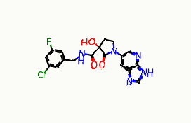 O=C(NCc1cc(F)cc(Cl)c1)[C@]1(O)CCN(c2cnc3[nH]cnc3c2)C1=O